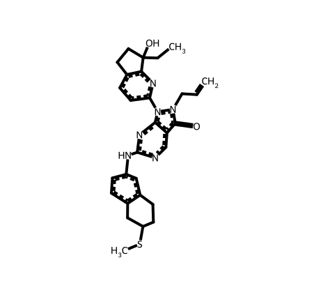 C=CCn1c(=O)c2cnc(Nc3ccc4c(c3)CCC(SC)C4)nc2n1-c1ccc2c(n1)C(O)(CC)CC2